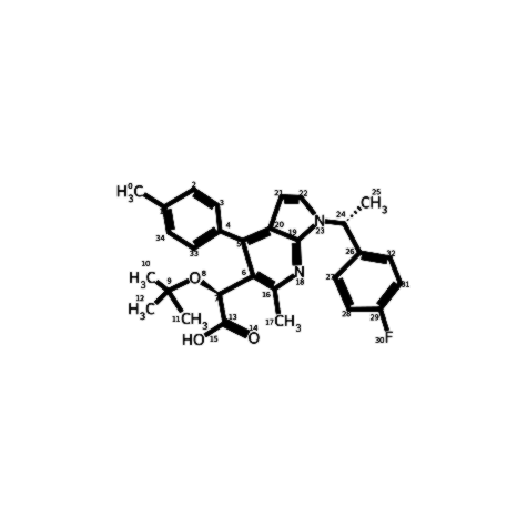 Cc1ccc(-c2c([C@H](OC(C)(C)C)C(=O)O)c(C)nc3c2ccn3[C@H](C)c2ccc(F)cc2)cc1